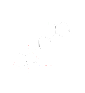 O=C(NO)C1(O)COCCC1S(=O)(=O)c1ccc(-c2ccccc2Cl)cc1